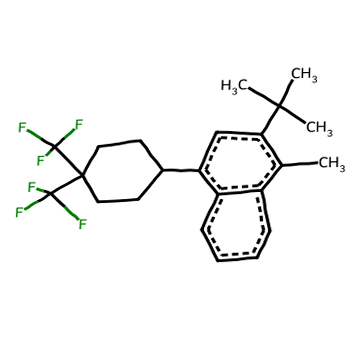 Cc1c(C(C)(C)C)cc(C2CCC(C(F)(F)F)(C(F)(F)F)CC2)c2ccccc12